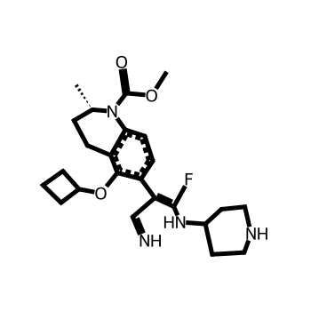 COC(=O)N1c2ccc(/C(C=N)=C(\F)NC3CCNCC3)c(OC3CCC3)c2CC[C@@H]1C